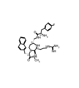 CNC(=O)[C@H](Cc1ccc2ccccc2c1)N1CC[C@H](CNC(=O)[C@H](N)Cc2ccc(F)cc2)N[C@@H](CCCNC(=N)N)C1=O